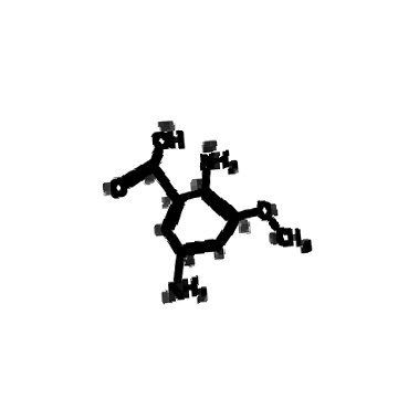 COc1cc(N)cc(C(=O)O)c1N